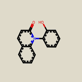 O=c1ccc2ccccc2n1-c1ccccc1O